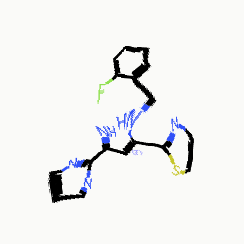 N=C(/C=C(\NCc1ccccc1F)c1nccs1)c1ncccn1